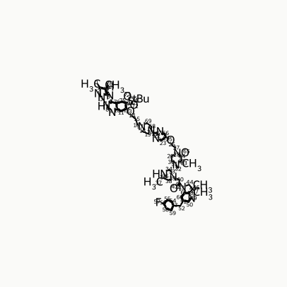 Cc1n[nH]c(Nc2ncnc3cc(OCCCN4CCN(c5ncc(OCCN6CCN(C[C@H]7CN[C@H](C)CN7CC(=O)N7CC(C)(C)c8ncc(Cc9ccc(F)cc9)cc87)C(C)C6=O)cn5)CC4)c(S(=O)(=O)C(C)(C)C)cc23)c1C